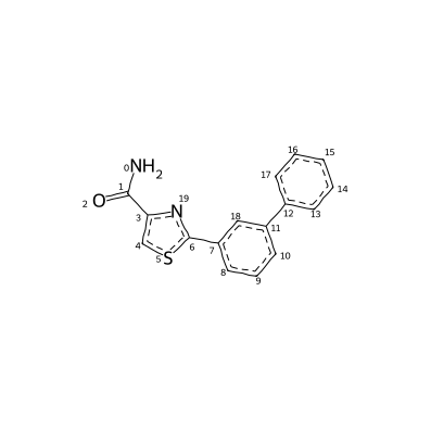 NC(=O)c1csc(-c2cccc(-c3ccccc3)c2)n1